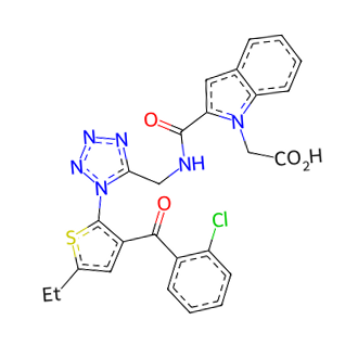 CCc1cc(C(=O)c2ccccc2Cl)c(-n2nnnc2CNC(=O)c2cc3ccccc3n2CC(=O)O)s1